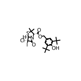 CC(C)(C)c1cc(COC(=O)[C@@H]2N3C(=O)[C@@](Cl)(I)[C@H]3SC2(C)C)cc(C(C)(C)C)c1O